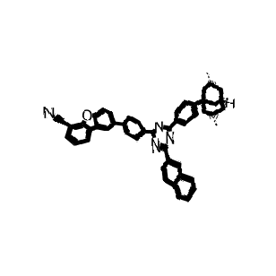 C[C@@H]1C[C@@H]2C[C@H](C)CC(c3ccc(-c4nc(-c5ccc(-c6ccc7oc8c(C#N)cccc8c7c6)cc5)nc(-c5ccc6ccccc6c5)n4)cc3)(C1)C2